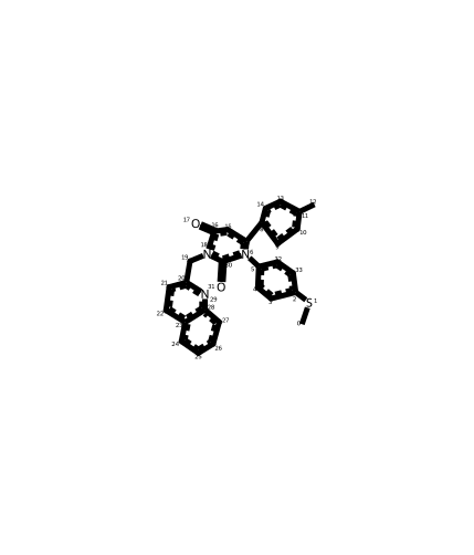 CSc1ccc(-n2c(-c3ccc(C)cc3)cc(=O)n(Cc3ccc4ccccc4n3)c2=O)cc1